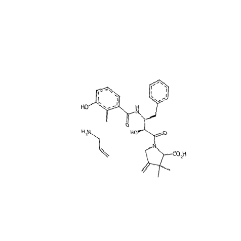 C=C1CN(C(=O)[C@@H](O)[C@H](Cc2ccccc2)NC(=O)c2cccc(O)c2C)C(C(=O)O)C1(C)C.C=CCN